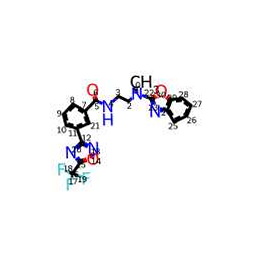 CN(CCNC(=O)c1cccc(-c2noc(C(F)(F)F)n2)c1)c1nc2ccccc2o1